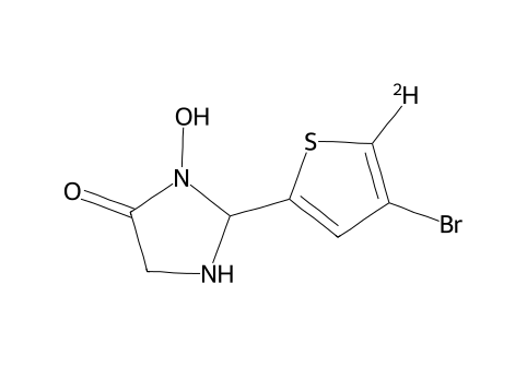 [2H]c1sc(C2NCC(=O)N2O)cc1Br